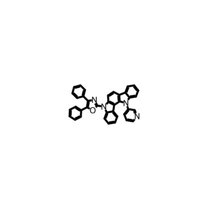 c1ccc(-c2nc(-n3c4ccccc4c4c3ccc3c5ccccc5n(-c5cccnc5)c34)oc2-c2ccccc2)cc1